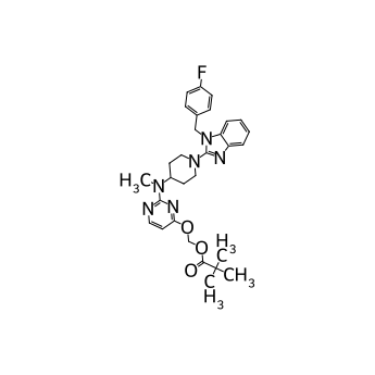 CN(c1nccc(OCOC(=O)C(C)(C)C)n1)C1CCN(c2nc3ccccc3n2Cc2ccc(F)cc2)CC1